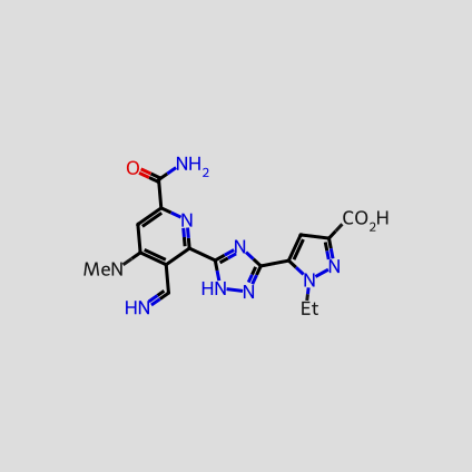 CCn1nc(C(=O)O)cc1-c1n[nH]c(-c2nc(C(N)=O)cc(NC)c2C=N)n1